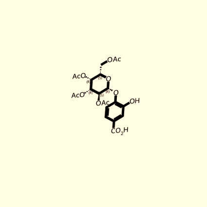 CC(=O)OC[C@@H]1O[C@H](Oc2ccc(C(=O)O)cc2O)[C@@H](OC(C)=O)[C@H](OC(C)=O)[C@@H]1OC(C)=O